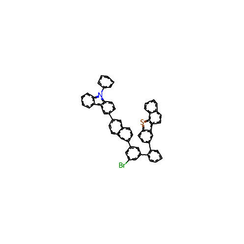 Brc1cc(-c2ccc3cc(-c4ccc5c(c4)c4ccccc4n5-c4ccccc4)ccc3c2)cc(-c2ccccc2-c2ccc3sc4c5ccccc5ccc4c3c2)c1